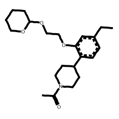 CCc1ccc(C2CCN(C(C)=O)CC2)c(OCCOC2CCCCO2)c1